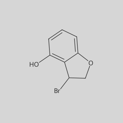 Oc1cccc2c1C(Br)CO2